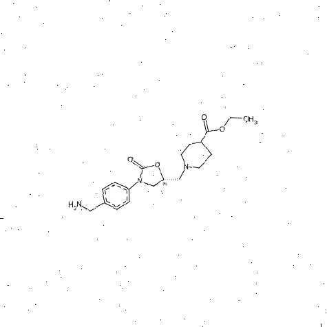 CCOC(=O)C1CCN(C[C@@H]2CN(c3ccc(CN)cc3)C(=O)O2)CC1